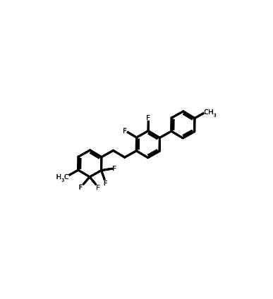 CC1=CC=C(CCc2ccc(-c3ccc(C)cc3)c(F)c2F)C(F)(F)C1(F)F